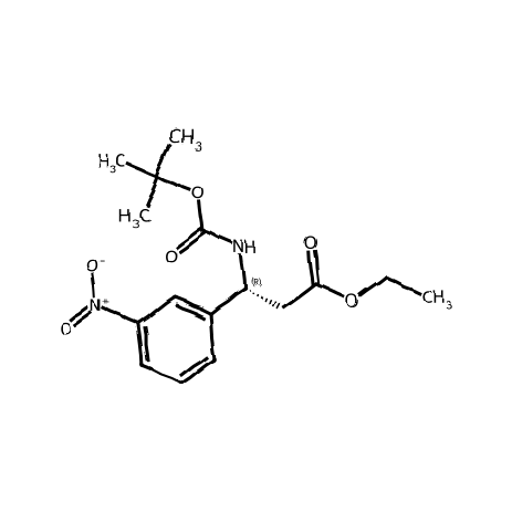 CCOC(=O)C[C@@H](NC(=O)OC(C)(C)C)c1cccc([N+](=O)[O-])c1